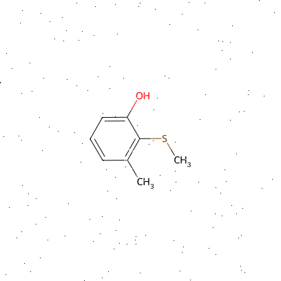 CSc1c(C)cccc1O